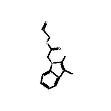 Cc1c(C)n(CC(=O)OCC=O)c2ccccc12